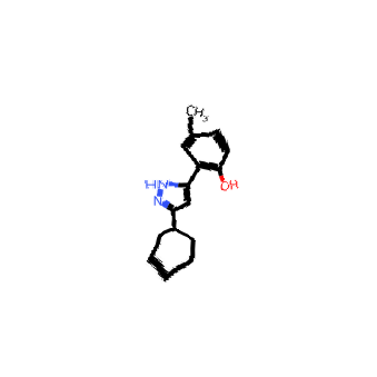 Cc1ccc(O)c(-c2cc(C3CCCCC3)n[nH]2)c1